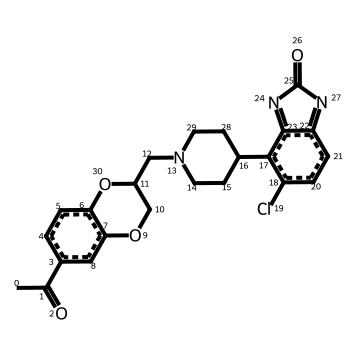 CC(=O)c1ccc2c(c1)OCC(CN1CCC(c3c(Cl)ccc4c3=NC(=O)N=4)CC1)O2